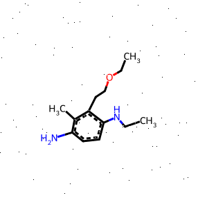 CCNc1ccc(N)c(C)c1CCOCC